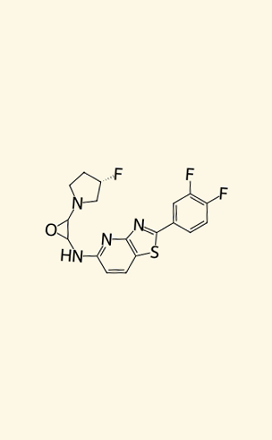 Fc1ccc(-c2nc3nc(NC4OC4N4CC[C@H](F)C4)ccc3s2)cc1F